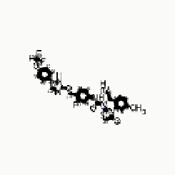 CCCc1ccc(C)cc1N1C(=O)CS/C1=N\C(=O)Nc1ccc(COC2N=CN(c3ccc(OC(F)(F)F)cc3)N2)c(F)c1